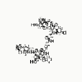 Cc1ncsc1-c1ccc(CNC(=O)[C@@H]2C[C@@H](O)CN2C(=O)C(NC(=O)COCCNC(=O)CCNCC(C(=O)N2CCN(c3ncnc4c3[C@H](C)C[C@H]4O)CC2)c2ccc(Cl)cc2)C(C)(C)C)cc1